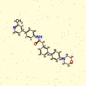 Cc1cc(-c2ccc(NC(=O)Cc3cccc(-c4ccc(N5CCOCC5)cc4)c3)cc2)ccn1